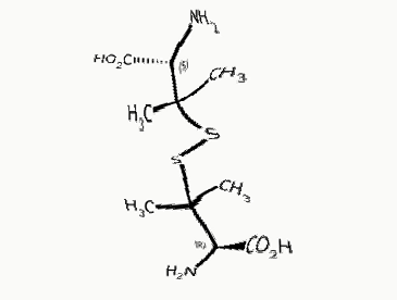 CC(C)(SSC(C)(C)[C@@H](N)C(=O)O)[C@H](N)C(=O)O